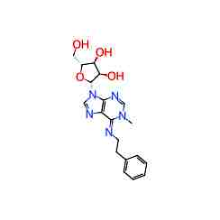 Cn1cnc2c(ncn2[C@@H]2O[C@H](CO)[C@@H](O)[C@H]2O)c1=NCCc1ccccc1